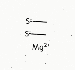 C[S-].C[S-].[Mg+2]